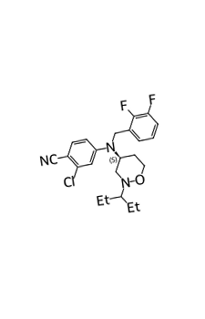 CCC(CC)N1C[C@@H](N(Cc2cccc(F)c2F)c2ccc(C#N)c(Cl)c2)CCO1